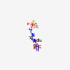 CC(C)(C)[Si](C)(C)OC(CNCc1cc2nnn(CCCN3CCC(OC(=O)[C@@](O)(c4cccs4)c4ccc(Br)s4)CC3)c2c2c1CCC2)c1ccc(O)c2[nH]c(=O)ccc12